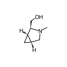 CN1C[C@@H]2C[C@@H]2[C@H]1CO